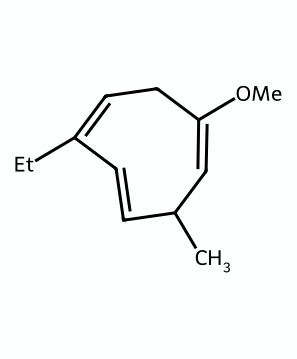 CCC1=C/C/C(OC)=C\C(C)\C=C\1